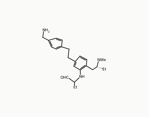 CCC(C=O)Nc1cc(CCc2ccc(CN)cc2)ccc1C[C@@H](CC)NC